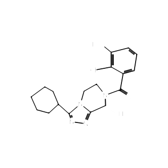 C[C@@H]1c2nnc(C3CCCCC3)n2CCN1C(=O)c1cccc(C(F)(F)F)c1Cl